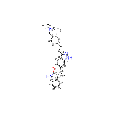 CN(C)Cc1ccc(CCc2n[nH]c3cc([C@H]4C[C@]45C(=O)Nc4ccccc45)ccc23)cc1